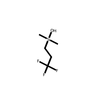 C[Si](C)(O)CCC(F)(F)F